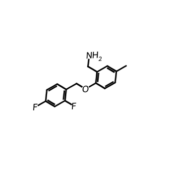 Cc1ccc(OCc2ccc(F)cc2F)c(CN)c1